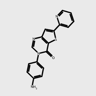 Nc1ccc(-n2cnc3cc(-c4ccccn4)sc3c2=O)cc1